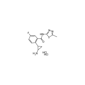 Cc1nnc(NC(=O)c2cc(F)ccc2C2CC2N)s1.Cl.Cl